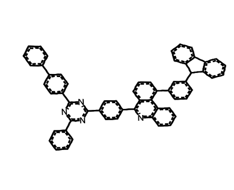 c1ccc(-c2ccc(-c3nc(-c4ccccc4)nc(-c4ccc(-c5nc6ccccc6c6c(-c7cccc(C8c9ccccc9-c9ccccc98)c7)cccc56)cc4)n3)cc2)cc1